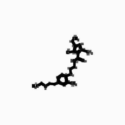 CCOCCc1ccc(OCCNC(=O)c2c(Cl)c(CC)nn2C)c(C)c1